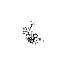 C[Si](C)(C)CCOCN(C(=O)O)C1=N[C@](CF)(c2cc(N)ccc2F)[C@@H]2C[C@]2(Cn2cc([Si](C)(C)C)nn2)S1